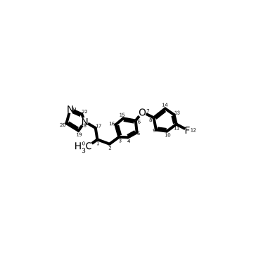 CC(Cc1ccc(Oc2ccc(F)cc2)cc1)Cn1ccnc1